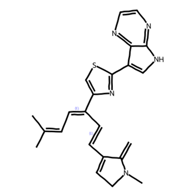 C=C1C(/C=C/C(=C\C=C(C)C)c2csc(-c3c[nH]c4nccnc34)n2)=CCN1C